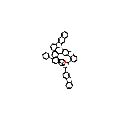 c1ccc(-c2ccc(-c3nc(-c4ccc5c(c4)sc4ccccc45)nc(-c4cccc5oc6cc(-n7c8ccccc8c8cc9ccccc9cc87)c(-c7ccccc7-c7ccccc7)cc6c45)n3)cc2)cc1